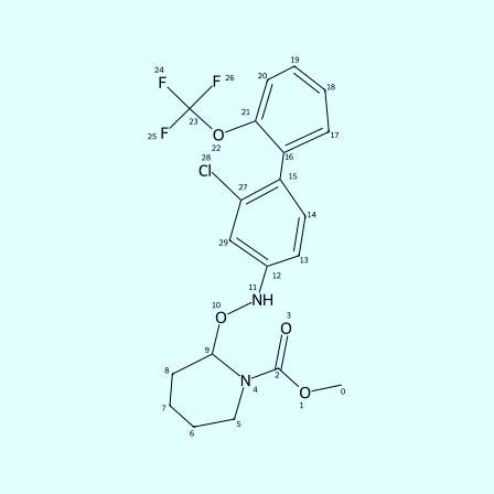 COC(=O)N1CCCCC1ONc1ccc(-c2ccccc2OC(F)(F)F)c(Cl)c1